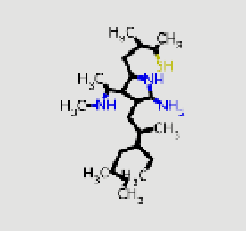 CCC(C)CC(CC)C(C)CC1C(N)NC(CC(C)C(C)S)C1C(C)NC